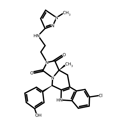 Cn1ccc(NCCN2C(=O)N3[C@H](c4cccc(O)c4)c4[nH]c5ccc(Cl)cc5c4C[C@@]3(C)C2=O)n1